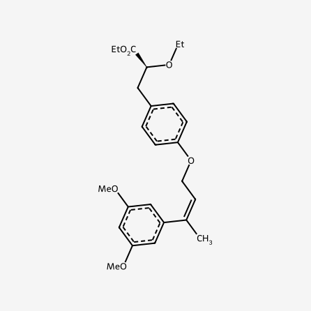 CCOC(=O)[C@H](Cc1ccc(OC/C=C(/C)c2cc(OC)cc(OC)c2)cc1)OCC